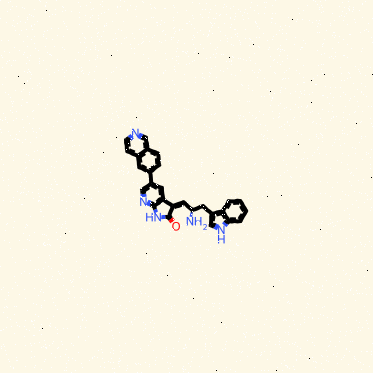 N[C@@H](C=C1C(=O)Nc2ncc(-c3ccc4cnccc4c3)cc21)Cc1c[nH]c2ccccc12